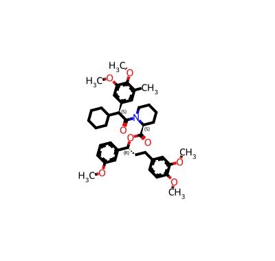 COc1cccc([C@@H](CCc2ccc(OC)c(OC)c2)OC(=O)[C@@H]2CCCCN2C(=O)[C@H](c2cc(C)c(OC)c(OC)c2)C2CCCCC2)c1